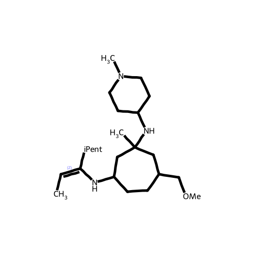 C/C=C(\NC1CCC(COC)CC(C)(NC2CCN(C)CC2)C1)C(C)CCC